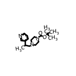 CC(CN1CCN(C(=O)OC(C)(C)C)CC1)c1cccnc1